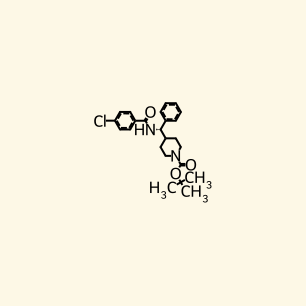 CC(C)(C)OC(=O)N1CCC([C@H](NC(=O)c2ccc(Cl)cc2)c2ccccc2)CC1